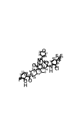 CCc1c(N2CCN(C(=O)c3nccc(F)c3O)CC2)c(=O)n2nc(C3=CCOCC3)nc2n1CC(=O)Nc1ccc(C(F)(F)F)cc1Cl